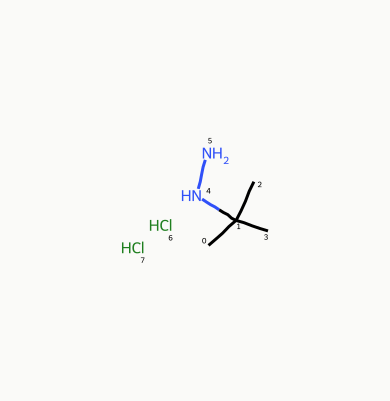 CC(C)(C)NN.Cl.Cl